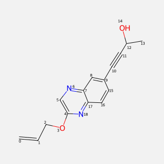 C=CCOc1cnc2cc(C#CC(C)O)ccc2n1